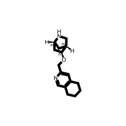 c1nc(CO[C@H]2C[C@H]3C[C@@H]2CN3)cc2c1CCCC2